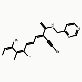 C=C(NCc1ccncn1)/C(C#CCC)=C/C=C/C(CC)=C(C)\C(=C/C)CCC